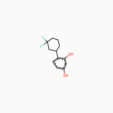 Oc1ccc(C2CCCC(F)(F)C2)c(O)c1